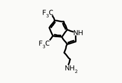 NCCc1c[nH]c2cc(C(F)(F)F)cc(C(F)(F)F)c12